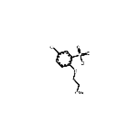 COCCOc1ccc(Cl)cc1S(=O)(=O)Cl